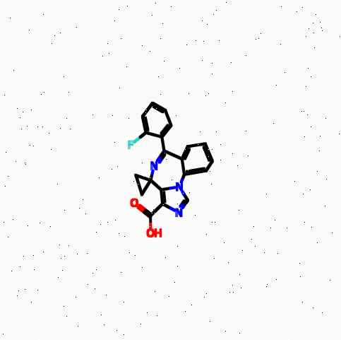 O=C(O)c1ncn2c1C1(CC1)N=C(c1ccccc1F)c1ccccc1-2